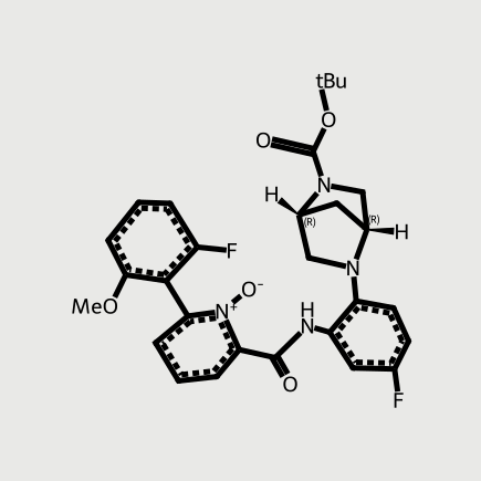 COc1cccc(F)c1-c1cccc(C(=O)Nc2cc(F)ccc2N2C[C@H]3C[C@@H]2CN3C(=O)OC(C)(C)C)[n+]1[O-]